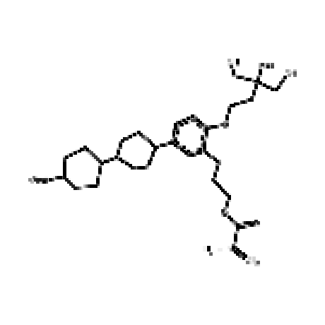 C=C(C)C(=O)OCCCc1cc(C2CCC(C3CCC(CCCCC)CC3)CC2)ccc1OCCC(CO)(CO)CCCC